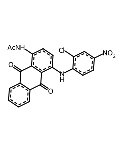 CC(=O)Nc1ccc(Nc2ccc([N+](=O)[O-])cc2Cl)c2c1C(=O)c1ccccc1C2=O